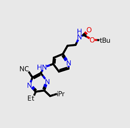 CCc1nc(C#N)c(Nc2ccnc(CCNC(=O)OC(C)(C)C)c2)nc1CC(C)C